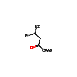 CCC(CC)CC(=O)OC